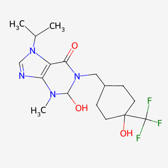 CC(C)n1cnc2c1C(=O)N(CC1CCC(O)(C(F)(F)F)CC1)C(O)N2C